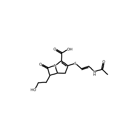 CC(=O)NC=CSC1=C(C(=O)O)N2C(=O)C(CCO)C2C1